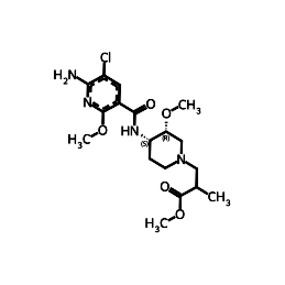 COC(=O)C(C)CN1CC[C@H](NC(=O)c2cc(Cl)c(N)nc2OC)[C@H](OC)C1